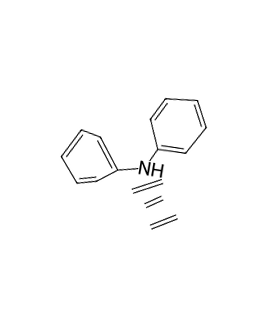 C=C.C=C.C=C.c1ccc(Nc2ccccc2)cc1